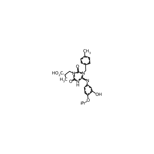 Cc1ccc(Cn2c(=O)n(C[C@H](C)C(=O)O)c(=O)[nH]/c2=N\c2ccc(OC(C)C)c(O)c2)cc1